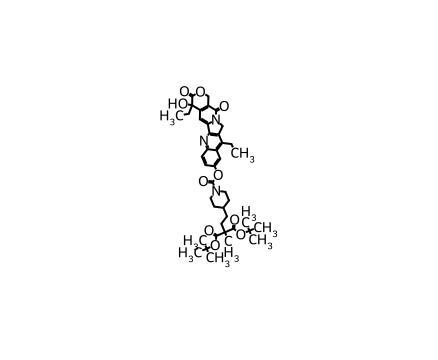 CCc1c2c(nc3ccc(OC(=O)N4CCC(CCC(C)(C(=O)OC(C)(C)C)C(=O)OC(C)(C)C)CC4)cc13)-c1cc3c(c(=O)n1C2)COC(=O)C3(O)CC